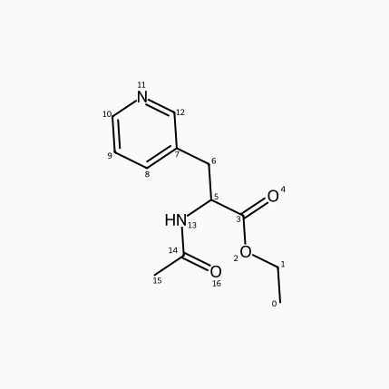 CCOC(=O)C(Cc1cccnc1)NC(C)=O